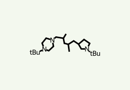 CC(CC(C)CN1CCN(C(C)(C)C)CC1)CC1CCN(C(C)(C)C)C1